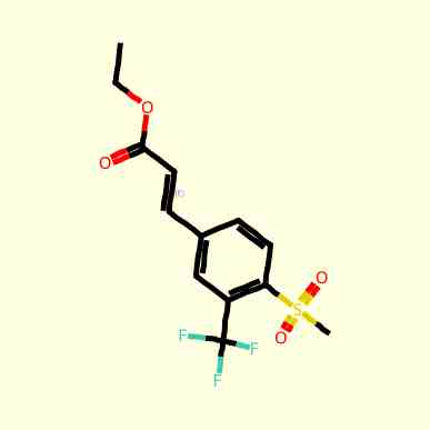 CCOC(=O)/C=C/c1ccc(S(C)(=O)=O)c(C(F)(F)F)c1